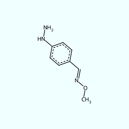 CO/N=C/c1ccc(NN)cc1